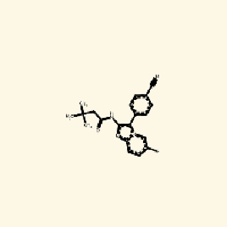 CC(C)(C)CC(=O)Nc1nc2ccc(F)cn2c1-c1ccc(C#N)cc1